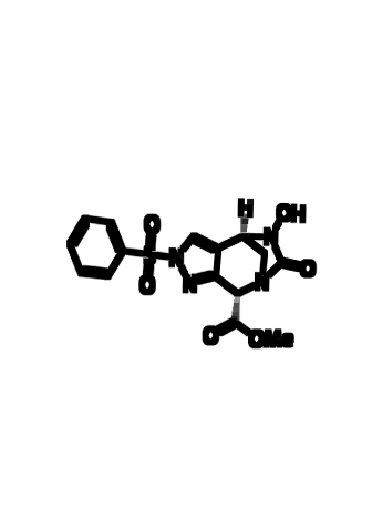 COC(=O)[C@@H]1c2nn(S(=O)(=O)c3ccccc3)cc2[C@@H]2CN1C(=O)N2O